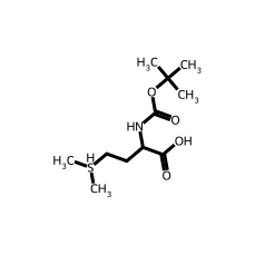 C[SH](C)CCC(NC(=O)OC(C)(C)C)C(=O)O